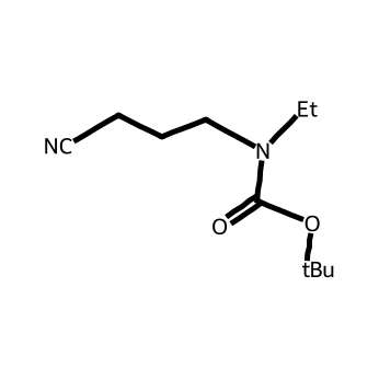 CCN(CCCC#N)C(=O)OC(C)(C)C